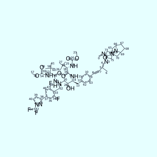 C=N/C(=N\C=C(/C)C#Cc1ccc(C[C@H](NC(=O)[C@@H](NC(=O)OC)C(C)(C)C)[C@@H](O)CN(Cc2c(F)cc(-c3ccn(C(F)F)n3)cc2F)NC(=O)[C@@H](NC(=O)OC)C(C)(C)C)cc1)N1CC2CCC(C1)N2C1COC1